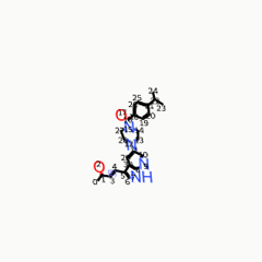 CC(=O)/C=C/c1c[nH]c2ncc(N3CCN(C(=O)c4ccc(C(C)C)cc4)CC3)cc12